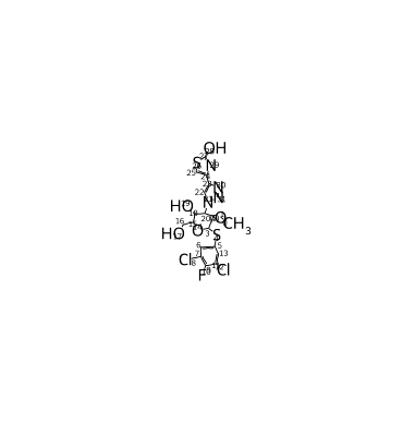 CO[C@@H]1C(Sc2cc(Cl)c(F)c(Cl)c2)OC(CO)C(O)C1n1cc(-c2csc(O)n2)nn1